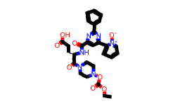 CCOC(=O)ON1CCN(C(=O)[C@H](CCC(=O)O)NC(=O)c2cc(-c3cccc[n+]3[O-])nc(-c3ccccc3)n2)CC1